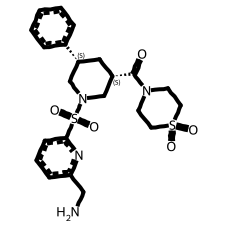 NCc1cccc(S(=O)(=O)N2C[C@@H](C(=O)N3CCS(=O)(=O)CC3)C[C@@H](c3ccccc3)C2)n1